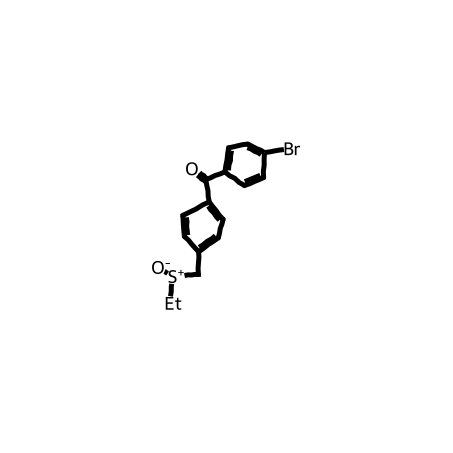 CC[S+]([O-])Cc1ccc(C(=O)c2ccc(Br)cc2)cc1